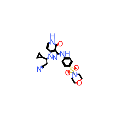 N#CC[C@@H](C1CC1)n1nc(Nc2ccc(S(=O)(=O)N3CCOCC3)cc2)c2c(=O)[nH]ccc21